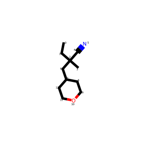 CCC(C)(C#N)CC1CCOCC1